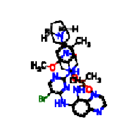 COc1cc(N2[C@@H]3CC[C@H]2C[C@H](N2CCN(C)CC2)C3)c(C)cc1Nc1ncc(Br)c(Nc2ccc3nccnc3c2NS(C)(=O)=O)n1